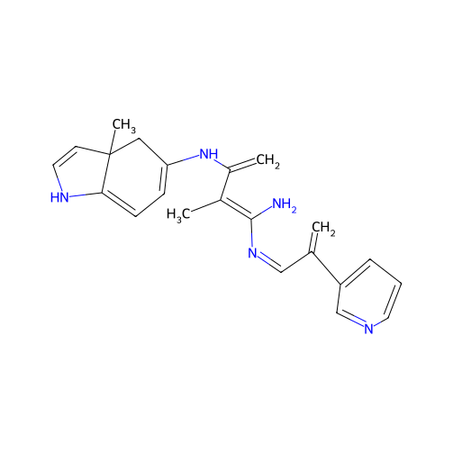 C=C(NC1=CC=C2NC=CC2(C)C1)/C(C)=C(N)/N=C\C(=C)c1cccnc1